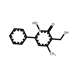 Cc1cc(-c2ccccc2)n(O)c(=O)c1CS